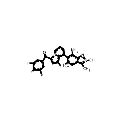 Cc1c2cc(C(F)(F)F)c(-c3cccn4c(C(=O)c5cc(F)c(F)c(F)c5)cc(I)c34)c(N)c2nn1C